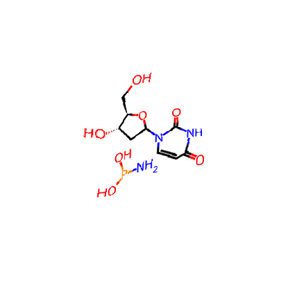 NP(O)O.O=c1ccn(C2C[C@H](O)[C@@H](CO)O2)c(=O)[nH]1